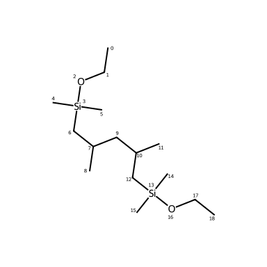 CCO[Si](C)(C)CC(C)CC(C)C[Si](C)(C)OCC